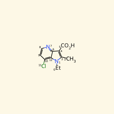 CCn1c(C)c(C(=O)O)c2nccc(Cl)c21